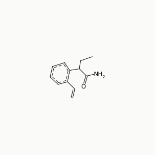 C=Cc1ccccc1C(CC)C(N)=O